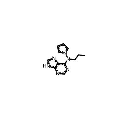 CCCN(c1ncnc2[nH]cnc12)n1cccc1